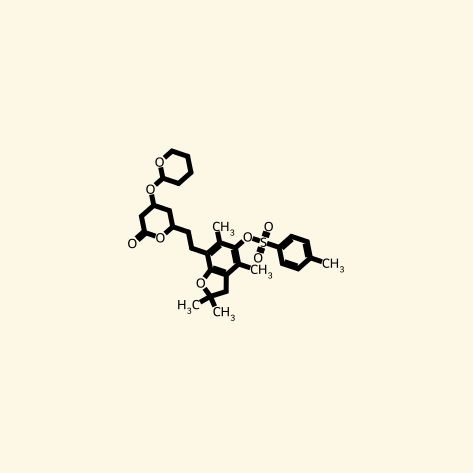 Cc1ccc(S(=O)(=O)Oc2c(C)c(CCC3CC(OC4CCCCO4)CC(=O)O3)c3c(c2C)CC(C)(C)O3)cc1